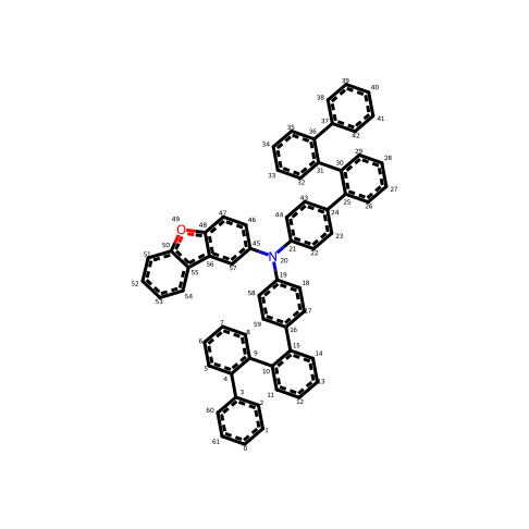 c1ccc(-c2ccccc2-c2ccccc2-c2ccc(N(c3ccc(-c4ccccc4-c4ccccc4-c4ccccc4)cc3)c3ccc4oc5ccccc5c4c3)cc2)cc1